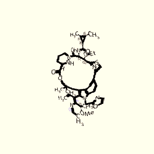 C=C/C(=C(\N=C/C)[C@H](C)OC)c1c2c3cc(ccc3n1Cc1ncco1)-c1csc(n1)[C@@H](OCC)[C@H](NC(=O)[C@H]1[C@H](C)[C@@H]1C)C(=O)N1CCC[C@H](N1)C(=O)OCC(C)(C)C2